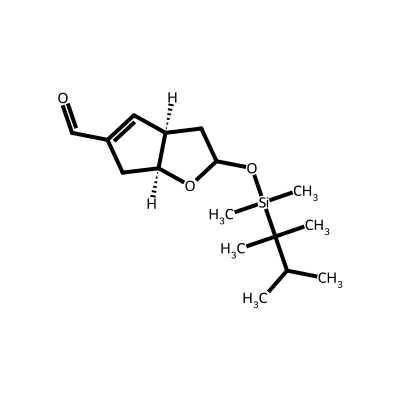 CC(C)C(C)(C)[Si](C)(C)OC1C[C@@H]2C=C(C=O)C[C@@H]2O1